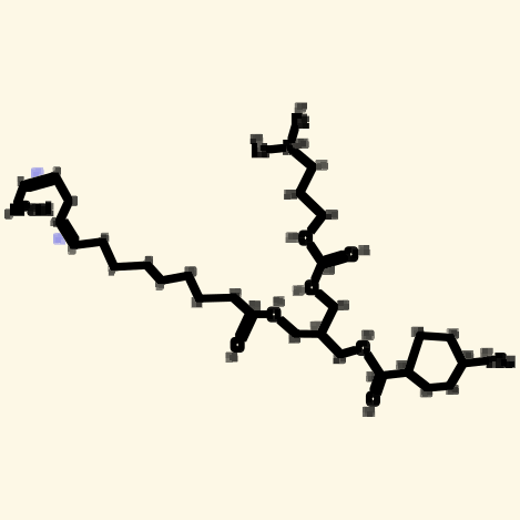 CCCCC/C=C\C/C=C\CCCCCCCC(=O)OCC(COC(=O)OCCCN(CC)CC)COC(=O)C1CCC(CCCC)CC1